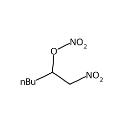 CCCCC(C[N+](=O)[O-])O[N+](=O)[O-]